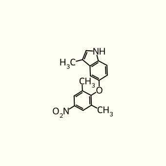 Cc1cc([N+](=O)[O-])cc(C)c1Oc1ccc2[nH]cc(C)c2c1